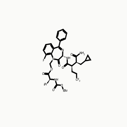 CC(C)[C@H](NC(=O)OC(C)(C)C)C(=O)OCN1C(=O)[C@@H](NC(=O)[C@H](CCC(F)(F)F)[C@H](CC2CC2)C(N)=O)N=C(c2ccccc2)c2cccc(F)c21